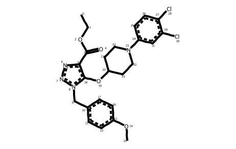 CCOC(=O)c1nnn(Cc2ccc(OC)cc2)c1OC1CCN(c2ccc(Cl)c(Cl)c2)CC1